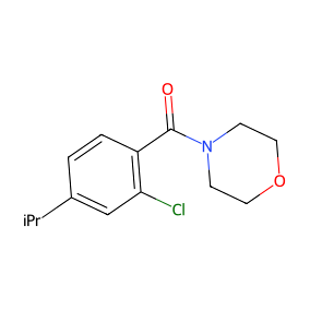 CC(C)c1ccc(C(=O)N2CCOCC2)c(Cl)c1